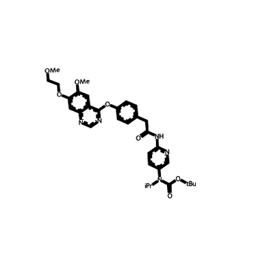 COCCOc1cc2ncnc(Oc3ccc(CC(=O)Nc4ccc(N(C(=O)OC(C)(C)C)C(C)C)cn4)cc3)c2cc1OC